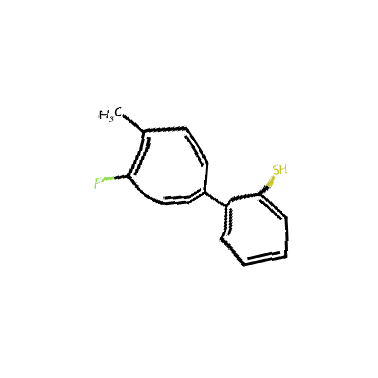 Cc1ccc(-c2ccccc2S)cc1F